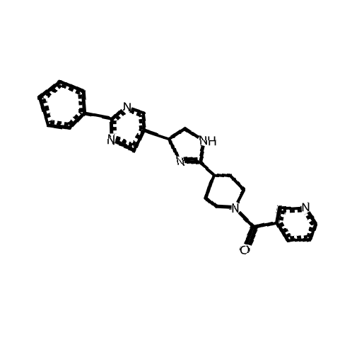 O=C(c1cccnc1)N1CCC(C2=NC(c3cnc(-c4ccccc4)nc3)CN2)CC1